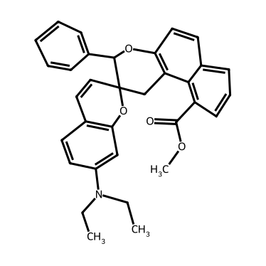 CCN(CC)c1ccc2c(c1)OC1(C=C2)Cc2c(ccc3cccc(C(=O)OC)c23)OC1c1ccccc1